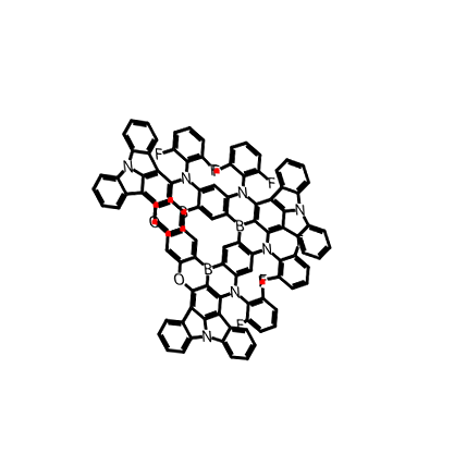 Fc1cccc(F)c1N1c2cc3c(cc2B2c4ccccc4Oc4c2c1c1c2ccccc2n2c5ccccc5c4c12)B1c2cc4c(cc2N(c2c(F)cccc2F)c2c1c(c1c5ccccc5n5c6ccccc6c2c15)N3c1c(F)cccc1F)N(c1c(F)cccc1F)c1c2c(c3c5ccccc5n5c6ccccc6c1c35)Oc1ccccc1B42